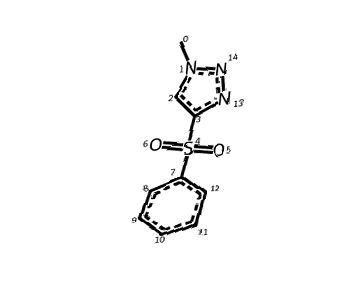 Cn1cc(S(=O)(=O)c2ccccc2)nn1